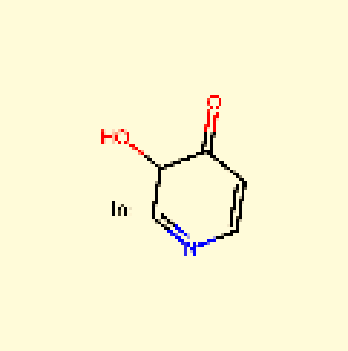 O=C1C=CN=CC1O.[In]